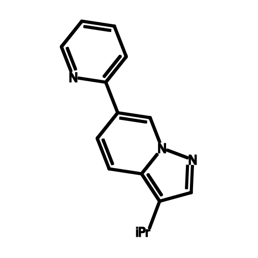 CC(C)c1cnn2cc(-c3ccccn3)ccc12